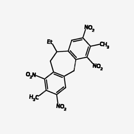 CCC1Cc2c(cc([N+](=O)[O-])c(C)c2[N+](=O)[O-])Cc2c1cc([N+](=O)[O-])c(C)c2[N+](=O)[O-]